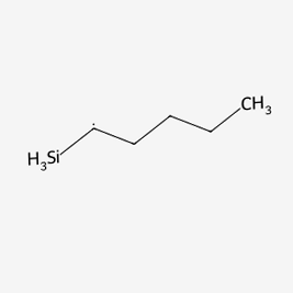 CCCC[CH][SiH3]